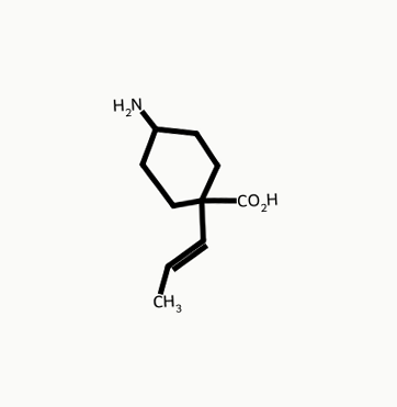 CC=CC1(C(=O)O)CCC(N)CC1